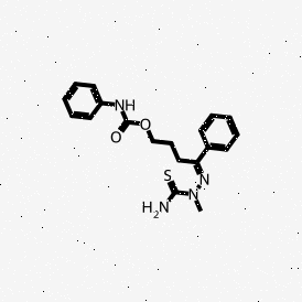 CN(/N=C(\CCCOC(=O)Nc1ccccc1)c1ccccc1)C(N)=S